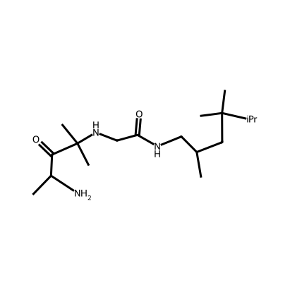 CC(CNC(=O)CNC(C)(C)C(=O)C(C)N)CC(C)(C)C(C)C